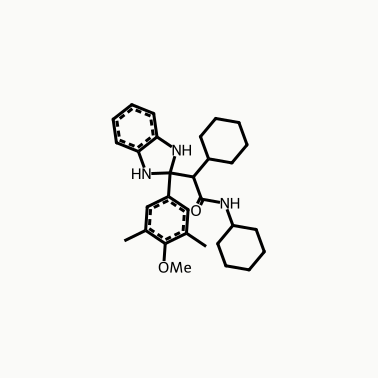 COc1c(C)cc(C2(C(C(=O)NC3CCCCC3)C3CCCCC3)Nc3ccccc3N2)cc1C